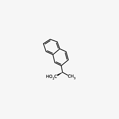 C[C@@H](C(=O)O)c1ccc2ccccc2c1